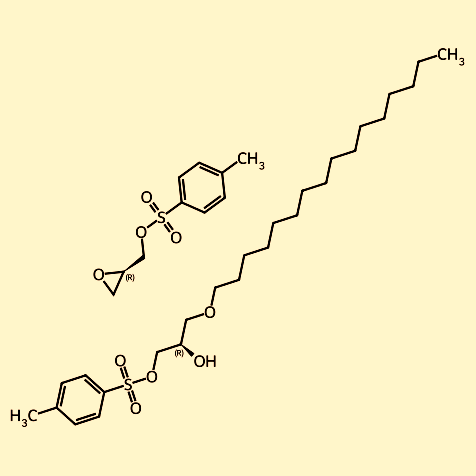 CCCCCCCCCCCCCCCCOC[C@@H](O)COS(=O)(=O)c1ccc(C)cc1.Cc1ccc(S(=O)(=O)OC[C@H]2CO2)cc1